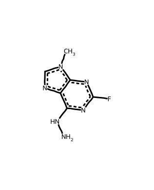 Cn1cnc2c(NN)nc(F)nc21